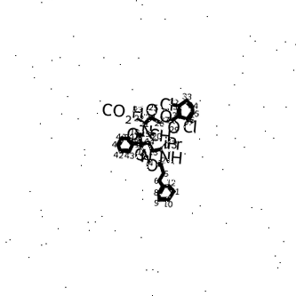 CC(C)[C@H](NC(=O)CCc1ccccc1)C1=NOC(C(=O)N(C)[C@@H](CC(=O)O)C(=O)COC(=O)c2c(Cl)cccc2Cl)(c2ccccc2)C1